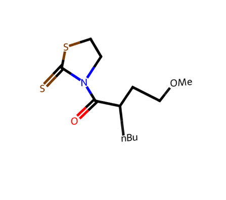 CCCCC(CCOC)C(=O)N1CCSC1=S